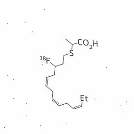 CC/C=C\C/C=C\C/C=C\CC([18F])CCSC(C)C(=O)O